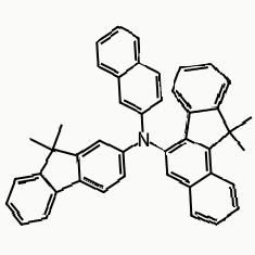 CC1(C)c2ccccc2-c2ccc(N(c3ccc4ccccc4c3)c3cc4ccccc4c4c3-c3ccccc3C4(C)C)cc21